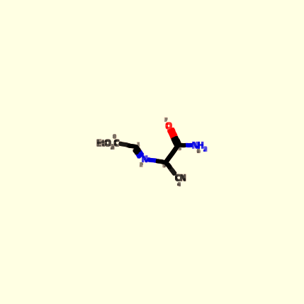 CCOC(=O)C=NC(C#N)C(N)=O